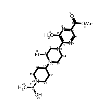 CC[C@H]1CN(c2ncc(C(=O)OC)nc2C)CCN1C1CCN(B(C)O)CC1